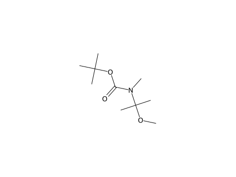 COC(C)(C)N(C)C(=O)OC(C)(C)C